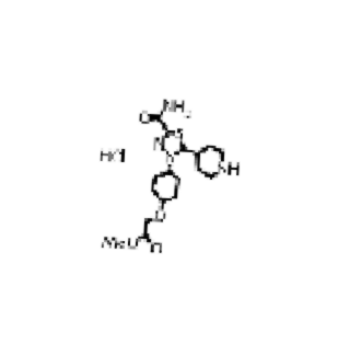 COC(=O)CO[C@H]1CC[C@H](N2N=C(C(N)=O)SC2C2CCNCC2)CC1.Cl